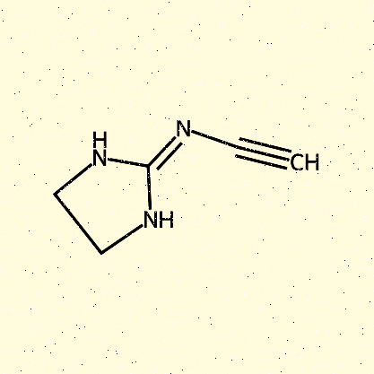 C#CN=C1NCCN1